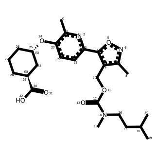 Cc1nc(-c2onc(C)c2COC(=O)N(C)CCC(C)C)ccc1O[C@H]1CCC[C@H](C(=O)O)C1